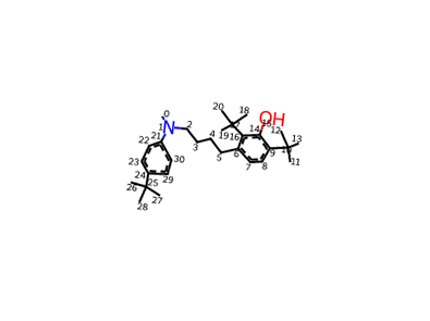 CN(CCCCc1ccc(C(C)(C)C)c(O)c1C(C)(C)C)c1ccc(C(C)(C)C)cc1